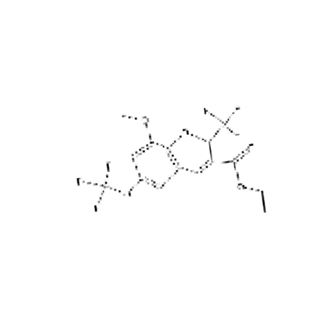 CCOC(=O)C1=Cc2cc(OC(F)(F)F)cc(OC)c2OC1C(F)(F)F